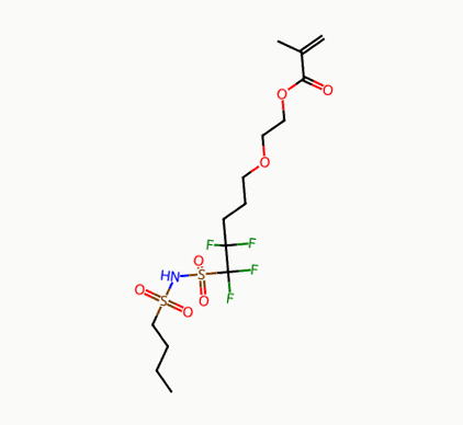 C=C(C)C(=O)OCCOCCCC(F)(F)C(F)(F)S(=O)(=O)NS(=O)(=O)CCCC